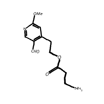 COc1cc(CCOC(=O)CCN)c(C=O)cn1